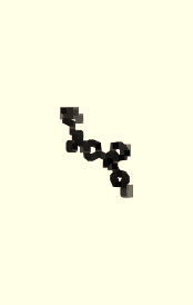 NCCCOC(=O)N1CCC(c2cn(-c3ccc(Cl)cc3)c3cnccc23)CC1